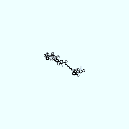 Cc1cc(Nc2ncc(Cl)c(Nc3ccccc3S(=O)(=O)C(C)C)n2)c(OC(C)C)cc1C1CCN(C(=O)CCCCCCCNc2cccc3c2C(=O)N(C2CCC(=O)NC2=O)C3=O)CC1